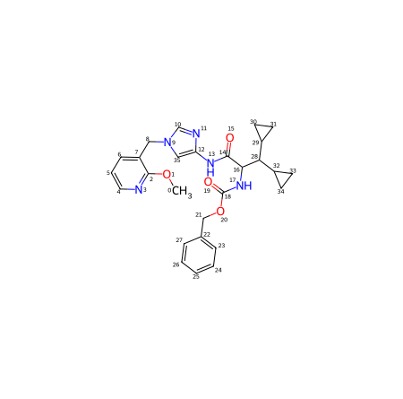 COc1ncccc1Cn1cnc(NC(=O)C(NC(=O)OCc2ccccc2)C(C2CC2)C2CC2)c1